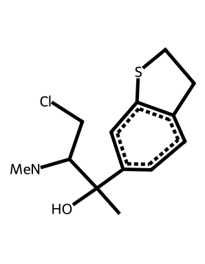 CNC(CCl)C(C)(O)c1ccc2c(c1)SCC2